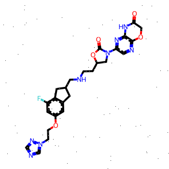 O=C1COc2ncc(N3CC(CCNCC4Cc5cc(OCCn6cncn6)cc(F)c5C4)OC3=O)nc2N1